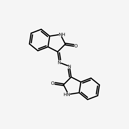 O=C1Nc2ccccc2/C1=N/N=C1\C(=O)Nc2ccccc21